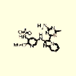 COc1ncc(Nc2nc3ccccn3c2-c2nc(C)nc(N)n2)cc1NS(C)(=O)=O